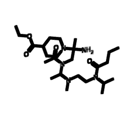 CCCC(=O)N(CCN(C)C(C)N(CC(C)(N)N1CCC(C(=O)OCC)CC1)C(C)=O)C(C)C